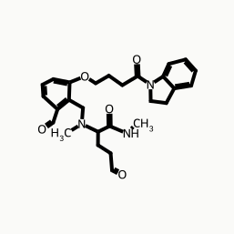 CNC(=O)C(CCC=O)N(C)Cc1c(C=O)cccc1OCCCC(=O)N1CCc2ccccc21